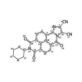 N#Cc1nc2c3ccc4c5c(ccc(c(=O)n2c1C#N)c53)C(=O)N(C1CCCCC1)C4=O